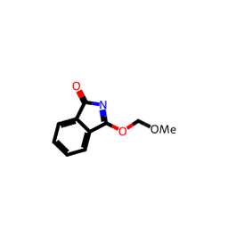 COCOC1=NC(=O)c2ccccc21